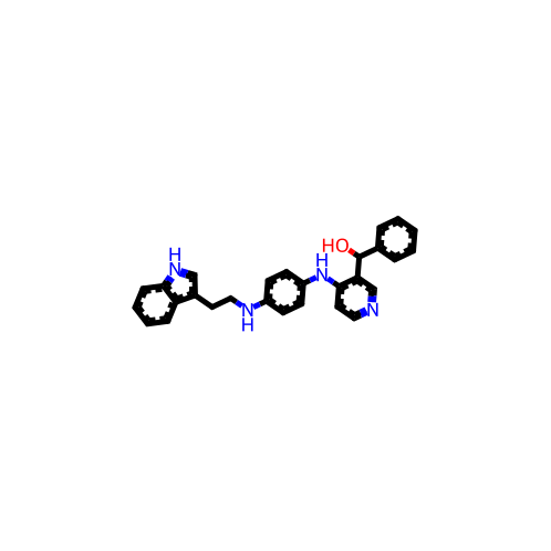 OC(c1ccccc1)c1cnccc1Nc1ccc(NCCc2c[nH]c3ccccc23)cc1